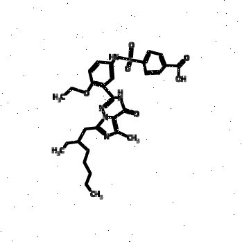 CCCCCC(CC)Cc1nc(C)c2c(=O)[nH]c(-c3cc(NS(=O)(=O)c4ccc(C(=O)O)cc4)ccc3OCC)nn12